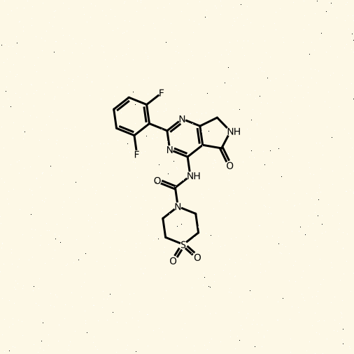 O=C1NCc2nc(-c3c(F)cccc3F)nc(NC(=O)N3CCS(=O)(=O)CC3)c21